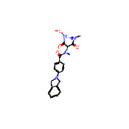 CNC(=O)C(C(=O)NO)N(C)C(=O)c1ccc(N2Cc3ccccc3C2)cc1